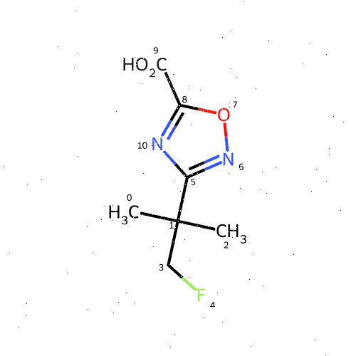 CC(C)(CF)c1noc(C(=O)O)n1